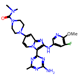 COc1ncc(Nc2nc3cc(N4CCN(C(=O)N(C)C)CC4)ccn3c2-c2nc(C)nc(N)n2)cc1F